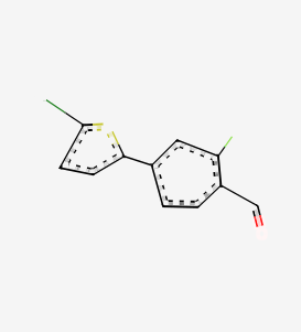 O=Cc1ccc(-c2ccc(Cl)s2)cc1F